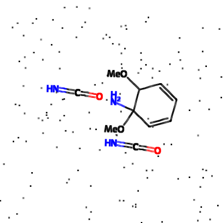 COC1C=CC=CC1(N)OC.N=C=O.N=C=O